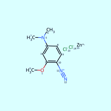 COc1cc(N(C)C)ccc1[N+]#N.[Cl-].[Cl-].[Zn+]